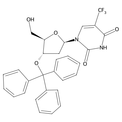 O=c1[nH]c(=O)n([C@H]2C[C@H](OC(c3ccccc3)(c3ccccc3)c3ccccc3)[C@@H](CO)O2)cc1C(F)(F)F